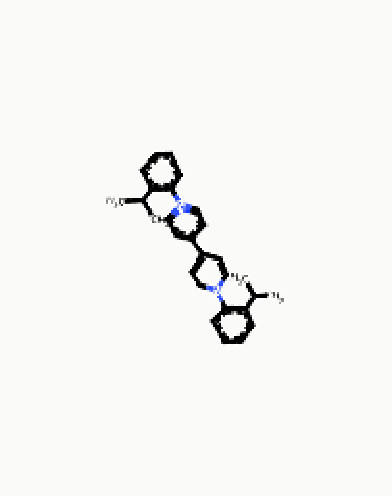 CC(C)c1ccccc1N1C=CC(c2cc[n+](-c3ccccc3C(C)C)cc2)=CC1